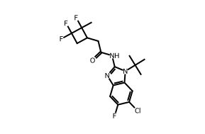 CC(C)(C)n1c(NC(=O)CC2CC(F)(F)C2(C)F)nc2cc(F)c(Cl)cc21